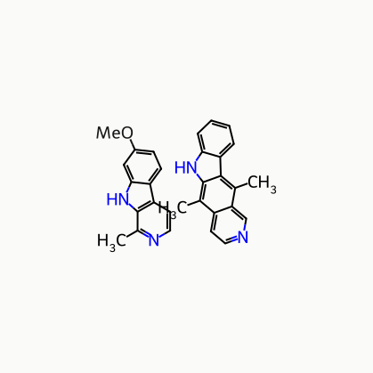 COc1ccc2c(c1)[nH]c1c(C)nccc12.Cc1c2ccncc2c(C)c2c1[nH]c1ccccc12